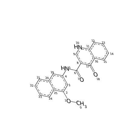 COc1cc(NC(=O)c2c[nH]c3ccccc3c2=O)cc2ccccc12